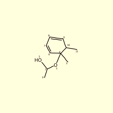 CC(O)OC1(C)C=CC=CC1C